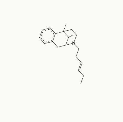 CC/C=C/CCN1CCC2(C)c3ccccc3CC1C2C